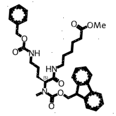 COC(=O)CCCCCNC(=O)[C@H](CCCNC(=O)OCc1ccccc1)N(C)C(=O)OCC1c2ccccc2-c2ccccc21